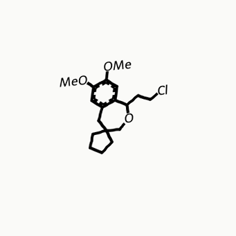 COc1cc2c(cc1OC)C(CCCl)OCC1(CCCC1)C2